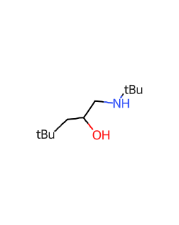 CC(C)(C)CC(O)CNC(C)(C)C